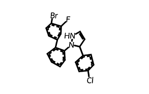 Fc1cc(-c2ccccc2N2NC=CC2c2ccc(Cl)cc2)ccc1Br